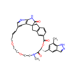 Cc1cc(C[C@H]2OC(=O)c3ccc4c(c3)C[C@@]3(C4)C(=O)Nc4ncc(cc43)/C=C/COCCOCCN(C)C2=O)cc2cn[nH]c12